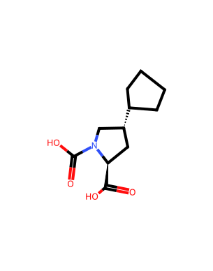 O=C(O)[C@@H]1C[C@@H](C2CCCC2)CN1C(=O)O